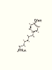 CCCCCCCCCCCCCCCc1ccc(OC)cc1